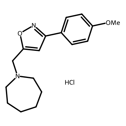 COc1ccc(-c2cc(CN3CCCCCC3)on2)cc1.Cl